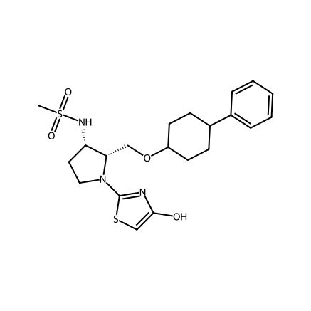 CS(=O)(=O)N[C@H]1CCN(c2nc(O)cs2)[C@H]1COC1CCC(c2ccccc2)CC1